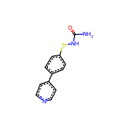 NC(=O)NSc1ccc(-c2ccncc2)cc1